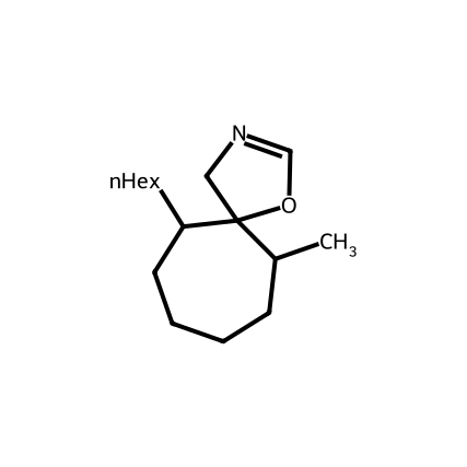 CCCCCCC1CCCCC(C)C12CN=CO2